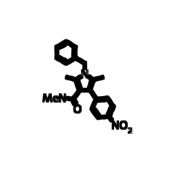 CNC(=O)c1c(-c2ccc([N+](=O)[O-])cc2)c(C)n(Cc2ccccc2)c1C